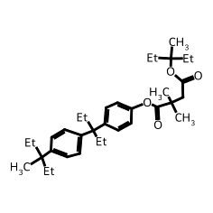 CCC(C)(CC)OC(=O)CC(C)(C)C(=O)Oc1ccc(C(CC)(CC)c2ccc(C(C)(CC)CC)cc2)cc1